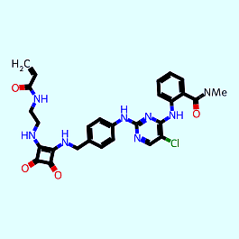 C=CC(=O)NCCNc1c(NCc2ccc(Nc3ncc(Cl)c(Nc4ccccc4C(=O)NC)n3)cc2)c(=O)c1=O